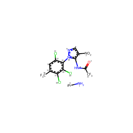 CC(C)N.O=C(Nc1c([N+](=O)[O-])cnn1-c1c(Cl)cc(C(F)(F)F)c(Cl)c1Cl)C(F)(F)F